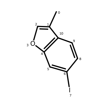 Cc1coc2cc(I)ccc12